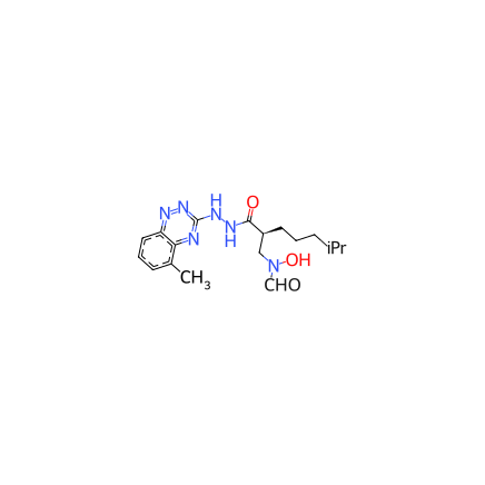 Cc1cccc2nnc(NNC(=O)[C@@H](CCCC(C)C)CN(O)C=O)nc12